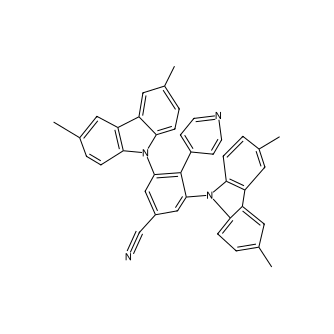 Cc1ccc2c(c1)c1cc(C)ccc1n2-c1cc(C#N)cc(-n2c3ccc(C)cc3c3cc(C)ccc32)c1-c1ccncc1